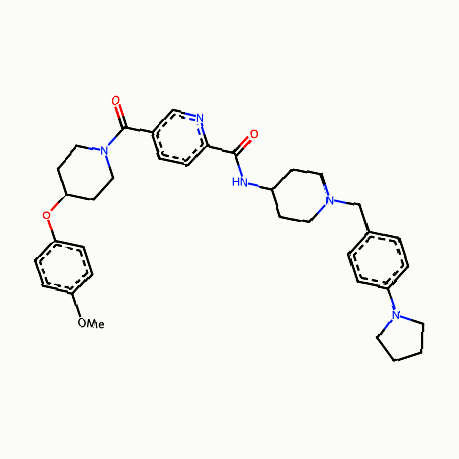 COc1ccc(OC2CCN(C(=O)c3ccc(C(=O)NC4CCN(Cc5ccc(N6CCCC6)cc5)CC4)nc3)CC2)cc1